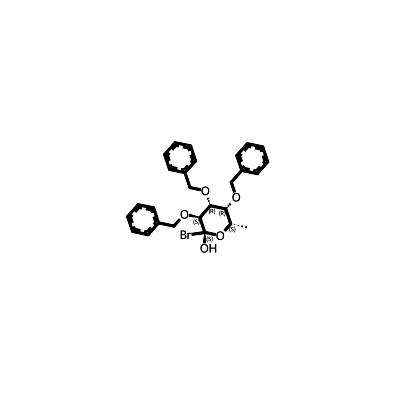 C[C@@H]1O[C@](O)(Br)[C@@H](OCc2ccccc2)[C@H](OCc2ccccc2)[C@@H]1OCc1ccccc1